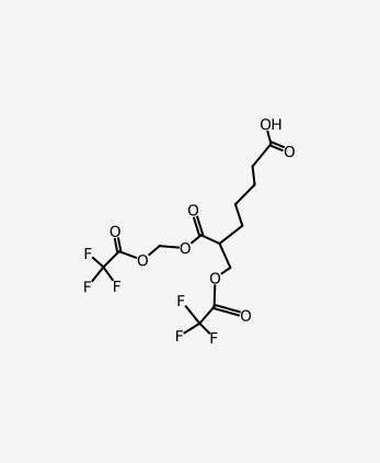 O=C(O)CCCCC(COC(=O)C(F)(F)F)C(=O)OCOC(=O)C(F)(F)F